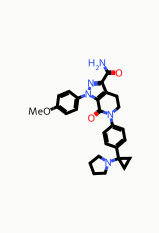 COc1ccc(-n2nc(C(N)=O)c3c2C(=O)N(c2ccc(C4(N5CCCC5)CC4)cc2)CC3)cc1